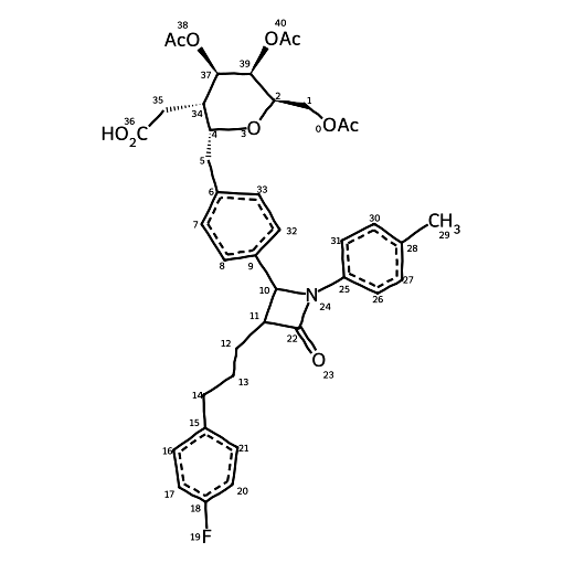 CC(=O)OC[C@H]1O[C@H](Cc2ccc(C3C(CCCc4ccc(F)cc4)C(=O)N3c3ccc(C)cc3)cc2)[C@H](CC(=O)O)[C@@H](OC(C)=O)[C@H]1OC(C)=O